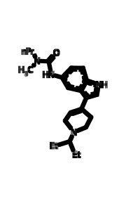 CCCN(C)C(=O)Nc1ccc2[nH]cc(C3=CCN(C(CC)CC)CC3)c2c1